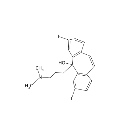 CN(C)CCCC1(O)c2cc(I)ccc2C=Cc2ccc(I)cc21